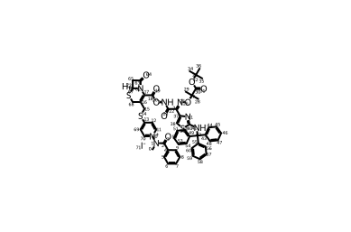 CN(C(=O)c1ccccc1)[n+]1ccc(SCC2=C(C(=O)ONC(=O)C(=NOC(C)(C)C(=O)OC(C)(C)C)c3csc(NC(c4ccccc4)(c4ccccc4)c4ccccc4)n3)N3C(=O)C[C@@H]3SC2)cc1.[I-]